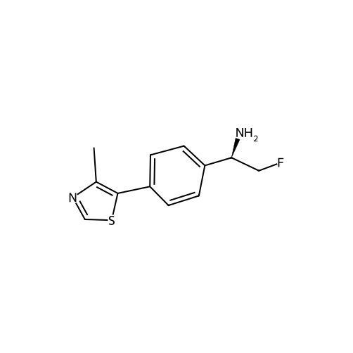 Cc1ncsc1-c1ccc([C@@H](N)CF)cc1